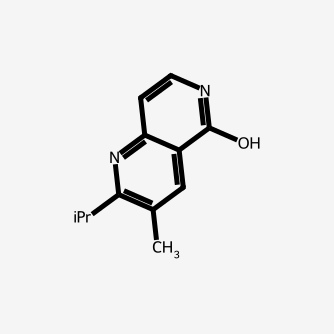 Cc1cc2c(O)nccc2nc1C(C)C